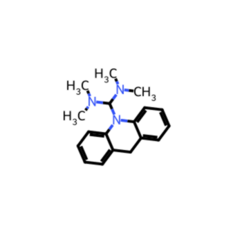 CN(C)C(N(C)C)N1c2ccccc2Cc2ccccc21